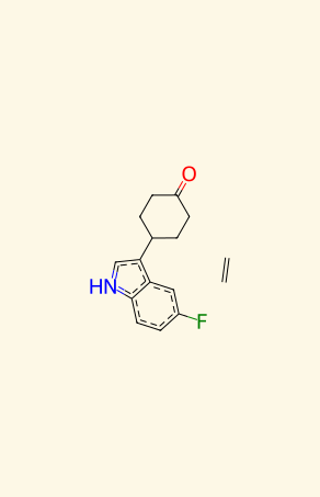 C=C.O=C1CCC(c2c[nH]c3ccc(F)cc23)CC1